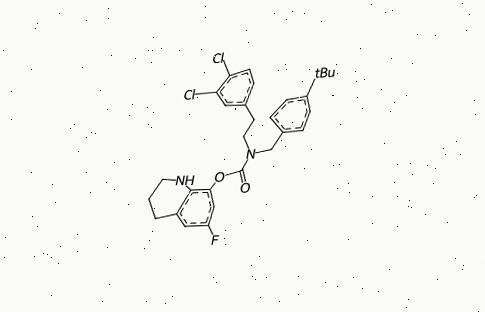 CC(C)(C)c1ccc(CN(CCc2ccc(Cl)c(Cl)c2)C(=O)Oc2cc(F)cc3c2NCCC3)cc1